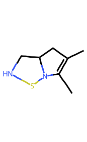 CC1=C(C)N2SNCC2C1